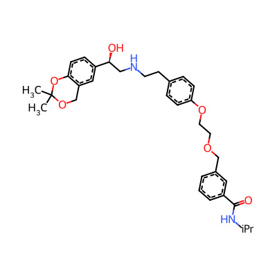 CC(C)NC(=O)c1cccc(COCCOc2ccc(CCNC[C@H](O)c3ccc4c(c3)COC(C)(C)O4)cc2)c1